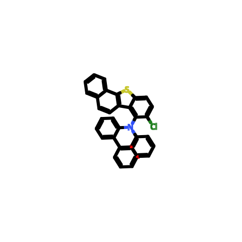 Clc1ccc2sc3c4ccccc4ccc3c2c1N(c1ccccc1)c1ccccc1-c1ccccc1